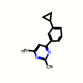 CCCc1cc(-c2cccc(C3CC3)c2)nc(C#N)n1